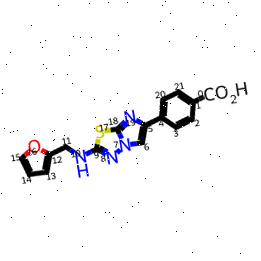 O=C(O)c1ccc(-c2cn3nc(NCc4ccco4)sc3n2)cc1